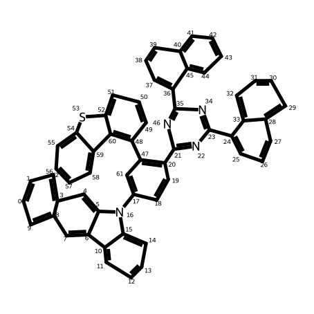 c1ccc2cc3c(cc2c1)c1ccccc1n3-c1ccc(-c2nc(-c3cccc4ccccc34)nc(-c3cccc4ccccc34)n2)c(-c2cccc3sc4ccccc4c23)c1